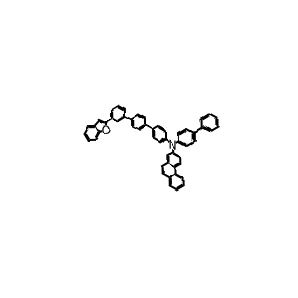 c1ccc(-c2ccc(N(c3ccc(-c4ccc(-c5cccc(-c6cc7ccccc7o6)c5)cc4)cc3)c3ccc4c(ccc5ccccc54)c3)cc2)cc1